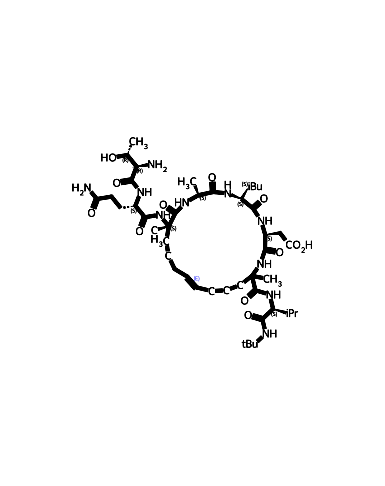 CC[C@H](C)[C@@H]1NC(=O)[C@H](C)NC(=O)[C@@](C)(NC(=O)[C@H](CCC(N)=O)NC(=O)[C@H](N)[C@@H](C)O)CCC/C=C/CCCC(C)(C(=O)N[C@H](C(=O)NC(C)(C)C)C(C)C)NC(=O)[C@H](CC(=O)O)NC1=O